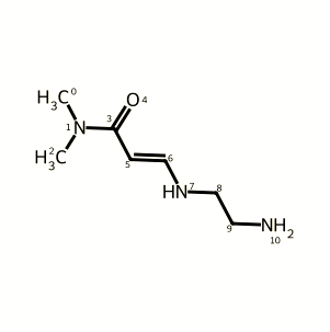 CN(C)C(=O)C=CNCCN